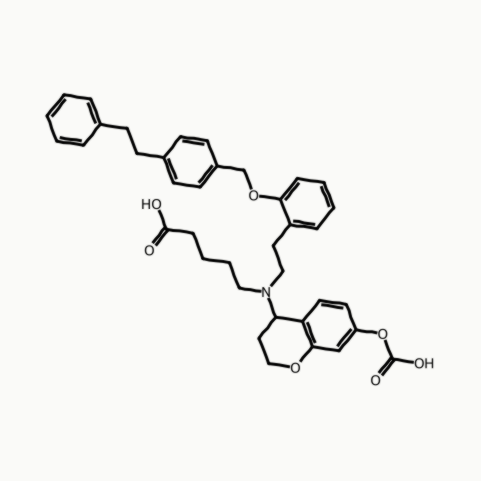 O=C(O)CCCCN(CCc1ccccc1OCc1ccc(CCc2ccccc2)cc1)C1CCOc2cc(OC(=O)O)ccc21